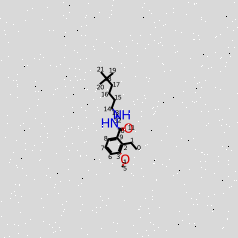 CCc1c(OC)cccc1C(=O)NNCCCCC(C)(C)C